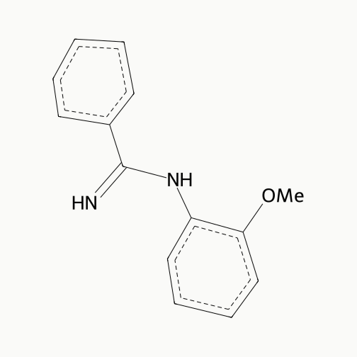 COc1ccccc1NC(=N)c1ccccc1